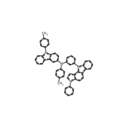 Cc1ccc(N(c2cccc(-n3c4ccccc4c4ccc5c(ccn5-c5ccccc5)c43)c2)c2ccc3c(c2)c2ccccc2n3-c2ccc(C)cc2)cc1